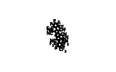 N#CC(C#N)=C1C(c2c(C(F)(F)F)c(F)c(F)c(F)c2C(F)(F)F)=C(C#N)c2c1cc1c(c2C#N)C(=C(C#N)C#N)C(c2c(C(F)(F)F)c(F)c(C(F)(F)F)c(F)c2C(F)(F)F)=C1C#N